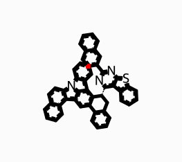 c1ccc2c(c1)C[C@@H](c1nc(-c3ccc4ccccc4c3)nc3sc4ccccc4c13)c1c-2cc2c3c4ccccc4ccc3n3c4ccccc4c1c23